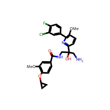 COc1cc(C(=O)NCC(O)(CN)c2ccc(OC)c(-c3ccc(F)c(Cl)c3)n2)ccc1OC1CC1